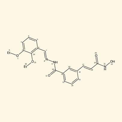 CCOc1cccc(/C=N/NC(=O)c2cccc(/C=C/C(=O)NO)c2)c1OCC